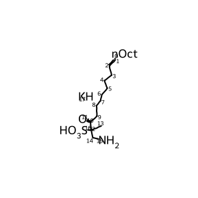 CCCCCCCCC=CCCCCCCCC(=O)C(C)(CN)S(=O)(=O)O.[KH]